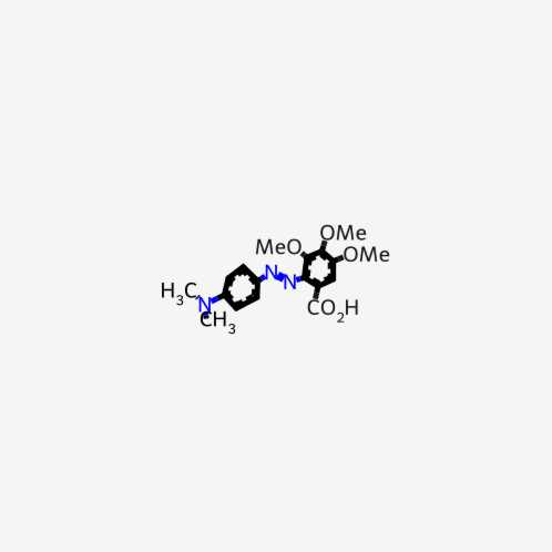 COc1cc(C(=O)O)c(/N=N/c2ccc(N(C)C)cc2)c(OC)c1OC